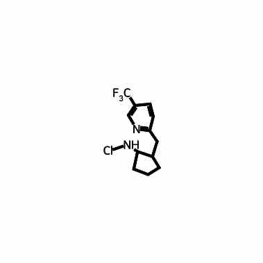 FC(F)(F)c1ccc(CC2CCCC2NCl)nc1